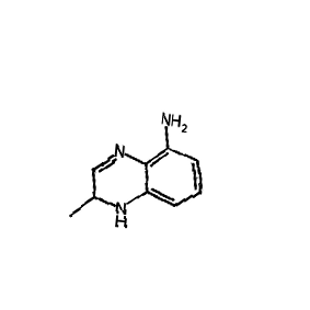 CC1C=Nc2c(N)cccc2N1